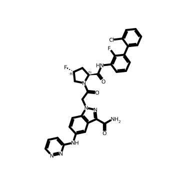 NC(=O)c1nn(CC(=O)N2C[C@H](F)C[C@H]2C(=O)Nc2cccc(-c3ccccc3Cl)c2F)c2ccc(Nc3cccnn3)cc12